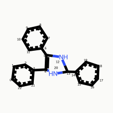 c1ccc(C2=C(c3ccccc3)NC(c3ccccc3)N2)cc1